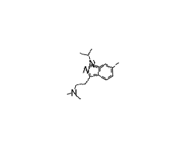 Cc1ccc2c(CCN(C)C)nn(C(C)C)c2c1